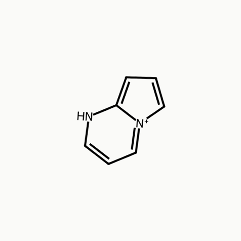 c1c[nH]c2ccc[n+]-2c1